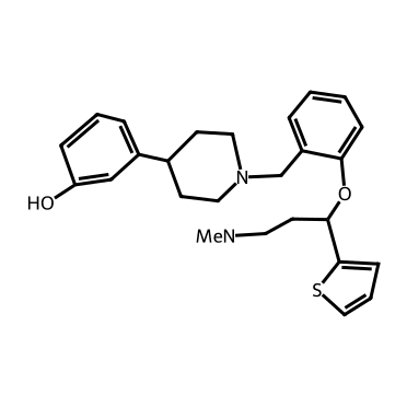 CNCCC(Oc1ccccc1CN1CCC(c2cccc(O)c2)CC1)c1cccs1